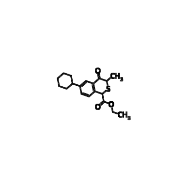 CCOC(=O)C1SC(C)C(=O)c2cc(C3CCCCC3)ccc21